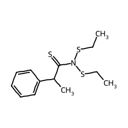 CCSN(SCC)C(=S)C(C)c1ccccc1